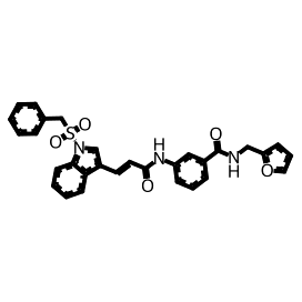 O=C(C=Cc1cn(S(=O)(=O)Cc2ccccc2)c2ccccc12)Nc1cccc(C(=O)NCc2ccco2)c1